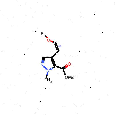 CCO/C=C\c1cnn(C)c1C(=O)OC